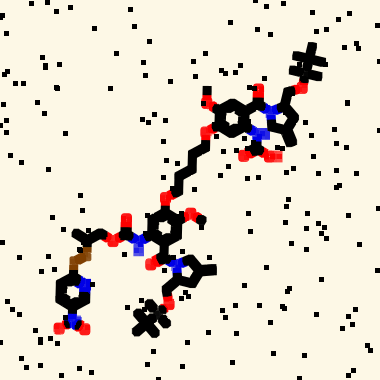 C=C1CC(CO[Si](C)(C)C(C)(C)C)N(C(=O)c2cc(OC)c(OCCCCCOc3cc(NC(=O)OCC(C)SSc4ccc([N+](=O)[O-])cn4)c(C(=O)N4CC(=C)CC4CO[Si](C)(C)C(C)(C)C)cc3OC)cc2NC(=O)O)C1